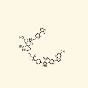 CNc1cc(-c2ccc3cc(C#N)cnn23)ncc1-c1nnc(C2CCC(NC(=O)CCCC(=O)N[C@H](C(=O)N3C[C@H](O)C[C@H]3C(=O)NCc3ccc(-c4scnc4C)cc3)C(C)(C)C)CC2)s1